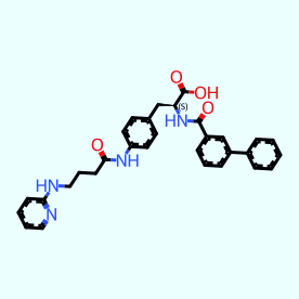 O=C(CCCNc1ccccn1)Nc1ccc(C[C@H](NC(=O)c2cccc(-c3ccccc3)c2)C(=O)O)cc1